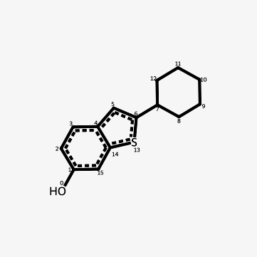 Oc1ccc2cc(C3CCCCC3)sc2c1